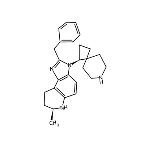 C[C@H]1CCc2c(ccc3c2nc(Cc2ccccc2)n3[C@H]2CCC23CCNCC3)N1